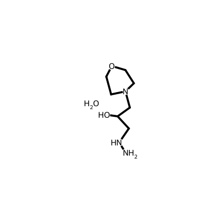 NNCC(O)CN1CCOCC1.O